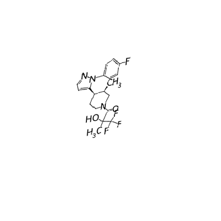 C[C@H]1CN(C(=O)C(C)(O)C(F)(F)F)CC[C@H]1c1ccnn1-c1ccc(F)cc1